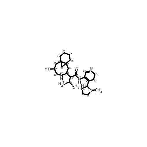 CN1CCNC1C1=C(NC(=O)C(C(N)N)C2CC34CCCCC3(CC(F)CN2)C4)C=NCC1